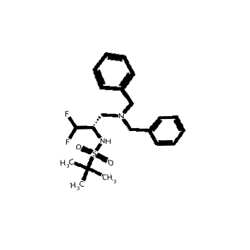 CC(C)(C)S(=O)(=O)N[C@@H](CN(Cc1ccccc1)Cc1ccccc1)C(F)F